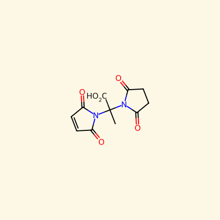 CC(C(=O)O)(N1C(=O)C=CC1=O)N1C(=O)CCC1=O